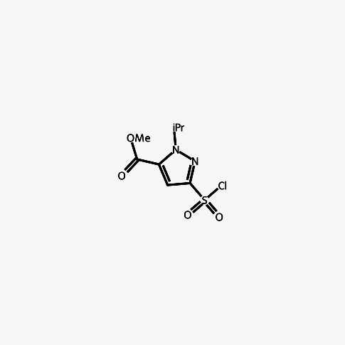 COC(=O)c1cc(S(=O)(=O)Cl)nn1C(C)C